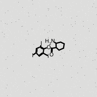 NC1CCCCC1C(=O)Oc1c(I)cc(I)cc1I